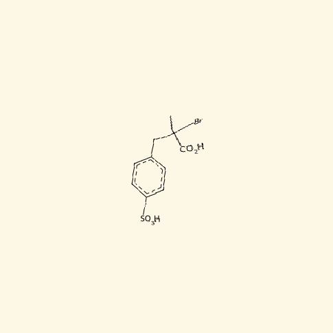 CC(Br)(Cc1ccc(S(=O)(=O)O)cc1)C(=O)O